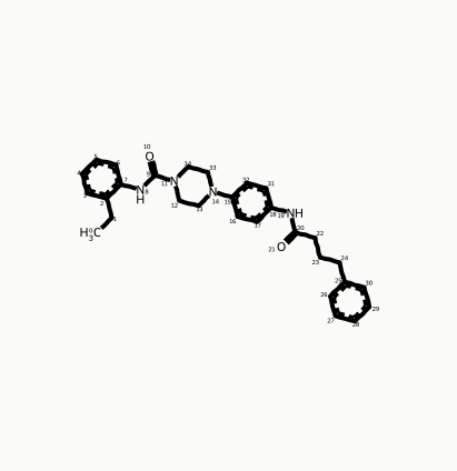 CCc1ccccc1NC(=O)N1CCN(c2ccc(NC(=O)CCCc3ccccc3)cc2)CC1